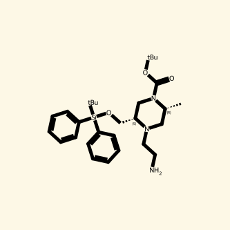 C[C@@H]1CN(CCN)[C@H](CO[Si](c2ccccc2)(c2ccccc2)C(C)(C)C)CN1C(=O)OC(C)(C)C